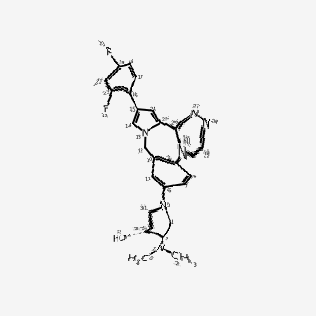 CN(C)[C@@H]1CN(c2ccc3c(c2)Cn2cc(-c4ccc(F)cc4F)cc2-c2nncn2-3)C[C@H]1O